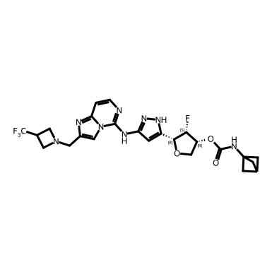 O=C(NC12CC(C1)C2)O[C@@H]1CO[C@H](c2cc(Nc3nccc4nc(CN5CC(C(F)(F)F)C5)cn34)n[nH]2)[C@@H]1F